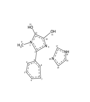 Cn1c(-c2ccccc2)nc(O)c1O.c1c[nH]cn1